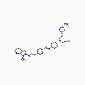 CCN(CCN1C=CN(C)C1)c1ccc(/N=N/c2ccc(/C=N/N=c3\sc4ccccc4n3C)cc2)cc1